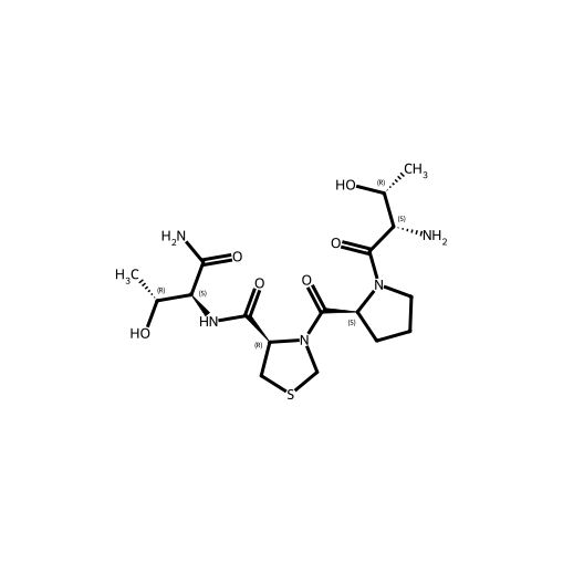 C[C@@H](O)[C@H](N)C(=O)N1CCC[C@H]1C(=O)N1CSC[C@H]1C(=O)N[C@H](C(N)=O)[C@@H](C)O